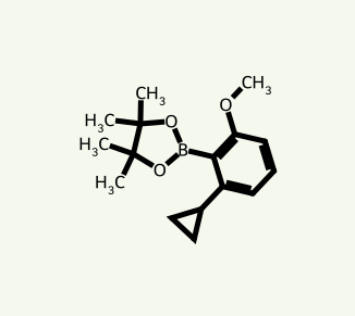 COc1cccc(C2CC2)c1B1OC(C)(C)C(C)(C)O1